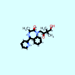 CC1N=C(c2ccccn2)c2ccccc2N(CC(=O)C(C)(C)CO)C1=O